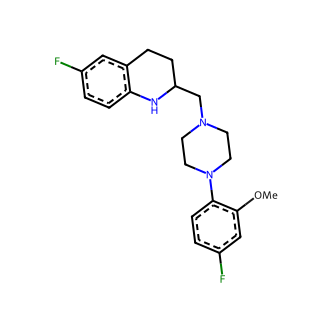 COc1cc(F)ccc1N1CCN(CC2CCc3cc(F)ccc3N2)CC1